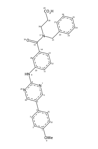 COc1ccc(-c2cnc(Nc3cccc(C(=O)N(CCC(=O)O)Cc4ccccc4)c3)nc2)cc1